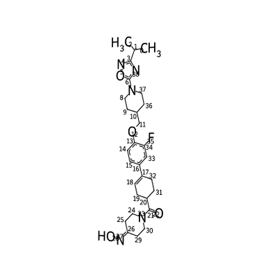 CC(C)c1noc(N2CCC(COc3ccc(C4=CCC(C(=O)N5CCC(=NO)CC5)CC4)cc3F)CC2)n1